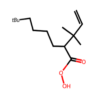 C=CC(C)(C)C(CCCCC(C)(C)C)C(=O)OO